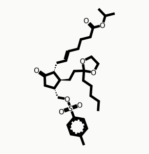 CCCCCC1(CC[C@H]2[C@H](COS(=O)(=O)c3ccc(C)cc3)CC(=O)[C@@H]2CC=CCCCC(=O)OC(C)C)OCCO1